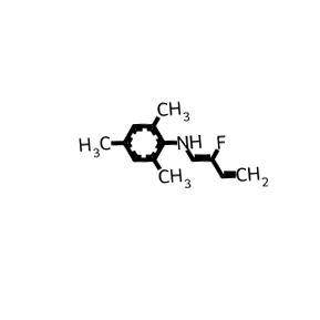 C=C/C(F)=C/Nc1c(C)cc(C)cc1C